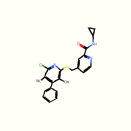 N#Cc1c(Cl)nc(SCc2ccnc(C(=O)NC3CC3)c2)c(C#N)c1-c1ccccc1